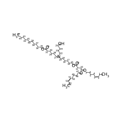 CC/C=C\CCCCOC(CCC(=O)OCCCCCCN(CCCCO)CCCCCC(=O)OCCCCCCCCCCC)OCCCC/C=C\CC